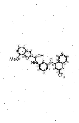 COc1cccc2cc(C(O)Nc3cccc(Nc4cc(C(F)(F)F)nc5ccccc45)c3)oc12